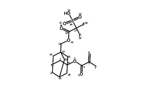 C=C(C)C(=O)OC12CC3CC(CC(COC(=O)C(F)(F)S(=O)(=O)O)(C3)C1)C2